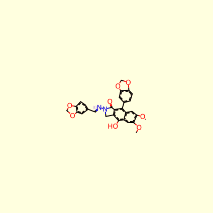 COc1cc2c(O)c3c(c(-c4ccc5c(c4)OCO5)c2cc1OC)C(=O)N(/N=C/c1ccc2c(c1)OCO2)C3